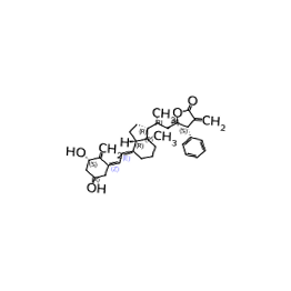 C=C1C(=O)O[C@H](C[C@@H](C)[C@H]2CC[C@H]3/C(=C/C=C4/C[C@@H](O)C[C@H](O)C4=C)CCC[C@]23C)[C@H]1c1ccccc1